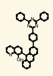 Oc1c(-c2c3ccccc3cc3ccc(-c4ccc(-c5nc(-c6ccccc6)nc(-c6ccccc6)n5)cc4)cc23)ccc2cccnc12